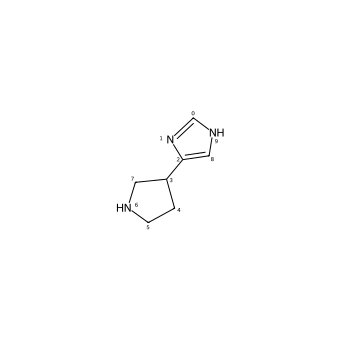 c1nc(C2CCNC2)c[nH]1